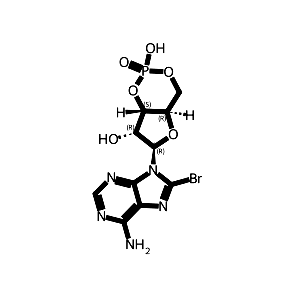 Nc1ncnc2c1nc(Br)n2[C@@H]1O[C@@H]2COP(=O)(O)O[C@H]2[C@H]1O